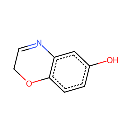 Oc1ccc2c(c1)N=CCO2